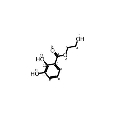 O=C(OCCO)c1cccc(O)c1O